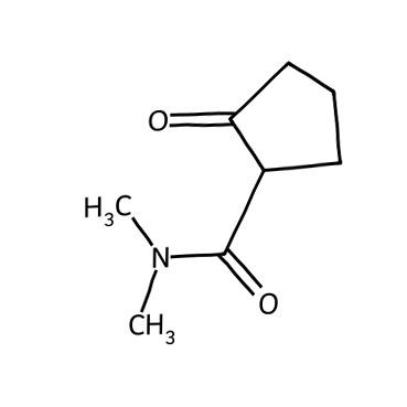 CN(C)C(=O)C1CCCC1=O